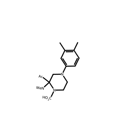 CNC1(C(C)=O)CN(c2ccc(C)c(C)c2)CCN1C(=O)O